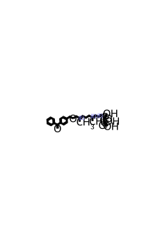 C/C(=C\C=C\P(=O)(O)OP(=O)(O)O)CC/C=C(\C)COCc1ccc(C(=O)c2ccccc2)cc1